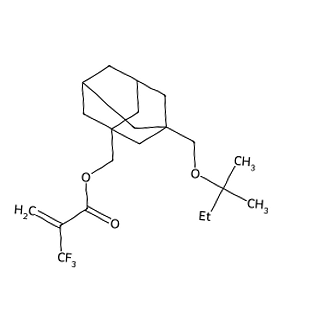 C=C(C(=O)OCC12CC3CC(C1)CC(COC(C)(C)CC)(C3)C2)C(F)(F)F